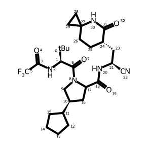 CC(C)(C)[C@H](NC(=O)C(F)(F)F)C(=O)N1C[C@H](C2CCCC2)CC1C(=O)N[C@H](C#N)C[C@@H]1CCC2(CC2)NC1=O